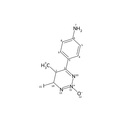 CC1C(c2ccc(N)cc2)=N[N+]([O-])=NC1I